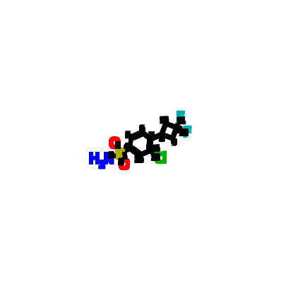 NS(=O)(=O)c1ccc(C2CC(F)(F)C2)c(Cl)c1